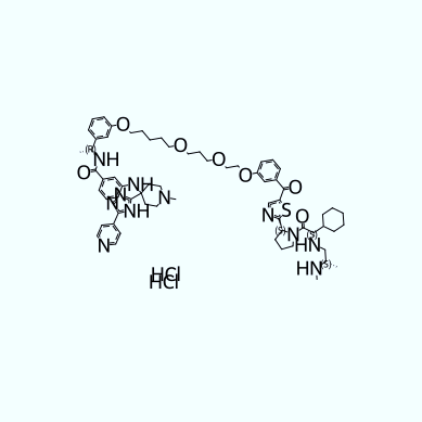 CN[C@@H](C)CN[C@H](C(=O)N1CCC[C@H]1c1ncc(C(=O)c2cccc(OCCOCCCOCCCCCOc3cccc([C@@H](C)NC(=O)c4cccc(NC5(c6nnc(-c7ccncc7)[nH]6)CCN(C)CC5)c4)c3)c2)s1)C1CCCCC1.Cl.Cl